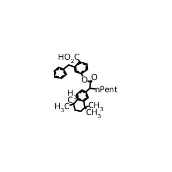 CCCCCC(C(=O)Oc1ccc(C(=O)O)c(Cc2ccccc2)c1)c1ccc2c(c1)C(C)(C)CCC2(C)C